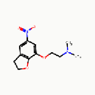 CN(C)CCOc1cc([N+](=O)[O-])cc2c1OCC2